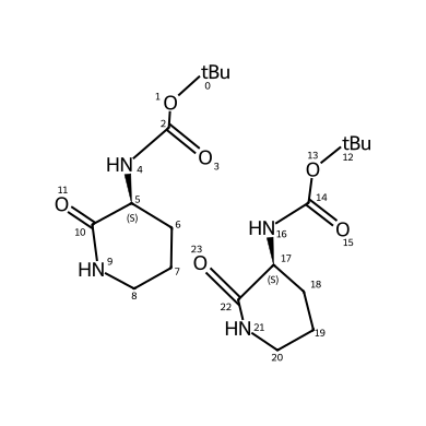 CC(C)(C)OC(=O)N[C@H]1CCCNC1=O.CC(C)(C)OC(=O)N[C@H]1CCCNC1=O